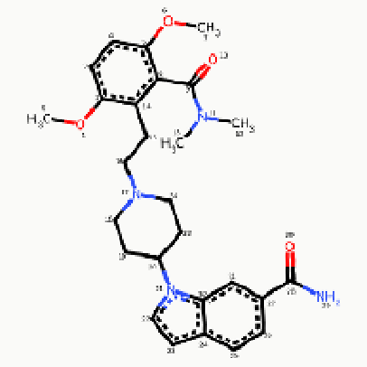 COc1ccc(OC)c(C(=O)N(C)C)c1CCN1CCC(n2ccc3ccc(C(N)=O)cc32)CC1